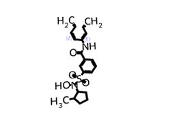 C=C/C=C\C(=C/C=C)NC(=O)c1cccc(S(=O)(=O)N(O)C2CCCC2C)c1